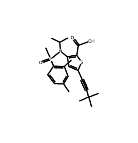 Cc1ccc(P(C)(=O)N(c2cc(C#CC(C)(C)C)sc2C(=O)O)C(C)C)c(C)c1